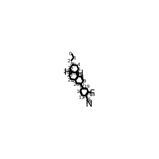 CCC[C@@H]1CC[C@@H]2c3ccc(-c4ccc(C#N)c(F)c4)cc3CC[C@H]2C1